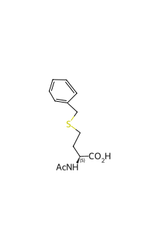 CC(=O)N[C@@H](CCSCc1ccccc1)C(=O)O